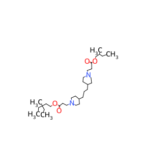 CCC(C)COC(=O)CCN1CCC(CCCC2CCN(CCC(=O)OCCC(C)(CC)CC)CC2)CC1